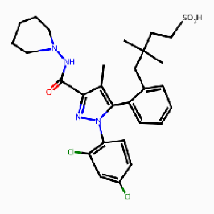 Cc1c(C(=O)NN2CCCCC2)nn(-c2ccc(Cl)cc2Cl)c1-c1ccccc1CC(C)(C)CCS(=O)(=O)O